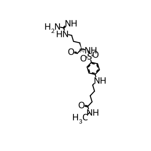 CNC(=O)CCCCNc1ccc(S(=O)(=O)N[C@@H](C=O)CCCNC(=N)N)cc1